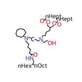 CCCCCCCCC(CCCCCC)CNC(=O)CCCCCN(CCCCN(CCO)CCCCC(COC(=O)CCCCCCC)COC(=O)CCCCCCC)C1CCCCCCC1